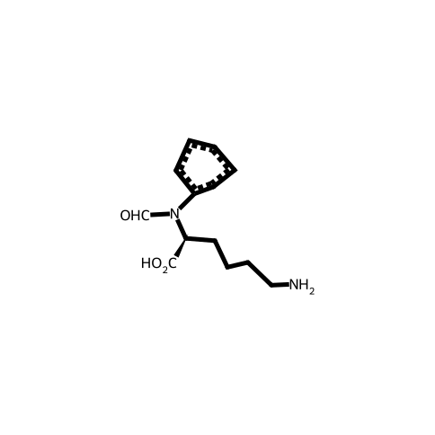 NCCCC[C@@H](C(=O)O)N(C=O)c1ccccc1